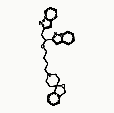 c1ccc2c(c1)COC21CCN(CCCCOC(Cc2cc3ccccn3n2)c2cc3ccccn3n2)CC1